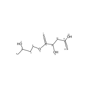 CC(O)CCOC(=S)C(O)CC(O)=S